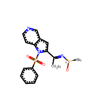 CCOC(=O)C(=N[S@+]([O-])C(C)(C)C)c1cc2cnccc2n1S(=O)(=O)c1ccccc1